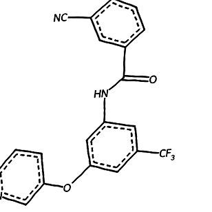 N#Cc1cccc(C(=O)Nc2cc(Oc3cccnc3)cc(C(F)(F)F)c2)c1